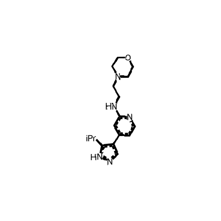 CC(C)c1[nH]ncc1-c1ccnc(NCCN2CCOCC2)c1